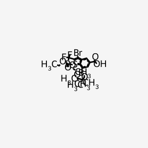 CCOP(=O)(OCC)C(F)(F)c1sc2c(B3OC(C)(C)C(C)(C)O3)cc(C(=O)O)cc2c1Br